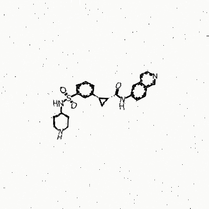 O=C(Nc1ccc2cnccc2c1)[C@@H]1C[C@H]1c1cccc(S(=O)(=O)NC2CCNCC2)c1